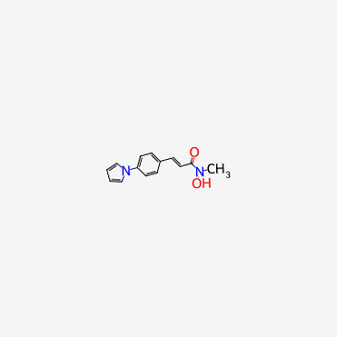 CN(O)C(=O)/C=C/c1ccc(-n2cccc2)cc1